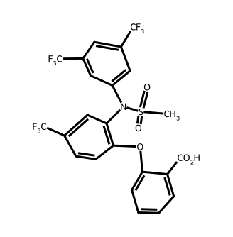 CS(=O)(=O)N(c1cc(C(F)(F)F)cc(C(F)(F)F)c1)c1cc(C(F)(F)F)ccc1Oc1ccccc1C(=O)O